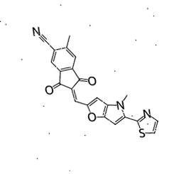 Cc1cc2c(cc1C#N)C(=O)/C(=C/c1cc3c(cc(-c4nccs4)n3C)o1)C2=O